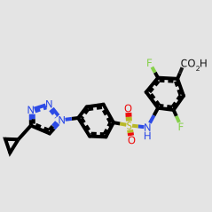 O=C(O)c1cc(F)c(NS(=O)(=O)c2ccc(-n3cc(C4CC4)nn3)cc2)cc1F